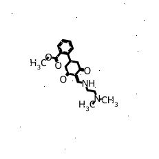 COC(=O)c1ccccc1C1CC(=O)C(=CNCCN(C)C)C(=O)C1